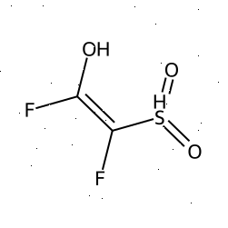 O=[SH](=O)C(F)=C(O)F